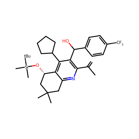 C=C(C)c1nc2c(c(C3CCCC3)c1C(O)c1ccc(C(F)(F)F)cc1)[C@@H](O[Si](C)(C)C(C)(C)C)CC(C)(C)C2